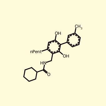 CCCCCc1cc(O)c(-c2cccc(C)c2)c(O)c1CNC(=O)C1CCCCC1